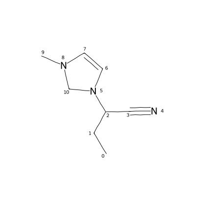 CCC(C#N)N1C=CN(C)C1